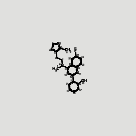 Cc1ncsc1CCN(C)c1nc(-c2ccccc2O)nc2ccc(F)cc12